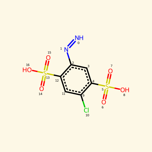 N=Nc1cc(S(=O)(=O)O)c(Cl)cc1S(=O)(=O)O